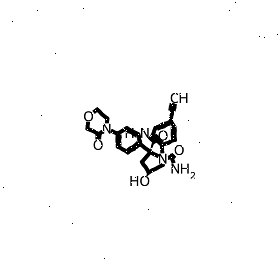 C#Cc1ccc([N+]2(C(N)=O)C[C@H](O)C[C@]2(C(N)=O)c2ccc(N3CCOCC3=O)cc2)cc1